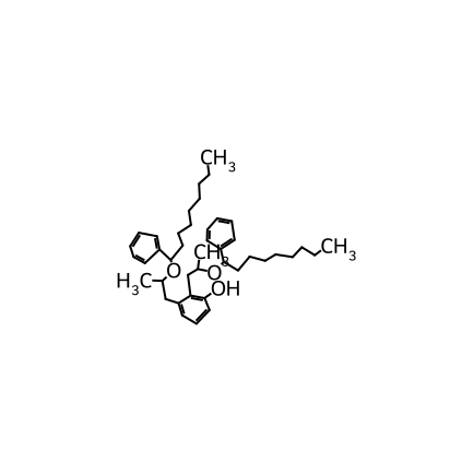 CCCCCCCCC(OC(C)Cc1cccc(O)c1CC(C)OC(CCCCCCCC)c1ccccc1)c1ccccc1